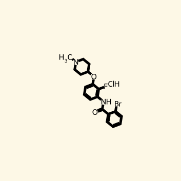 CN1CCC(Oc2cccc(NC(=O)c3ccccc3Br)c2F)CC1.Cl